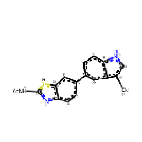 CC(=O)Nc1nc2ccc(-c3ccc4[nH]cc(C#N)c4c3)cc2s1